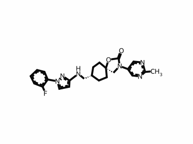 Cc1ncc(N2C[C@]3(CC[C@@H](CNc4ccn(-c5ccccc5F)n4)CC3)OC2=O)cn1